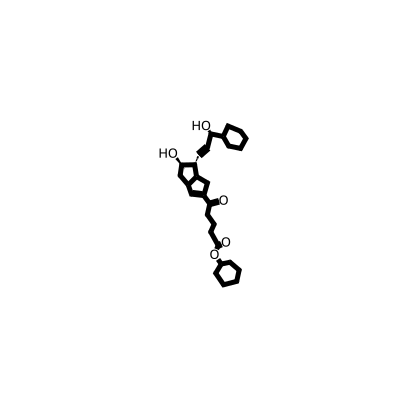 O=C(CCCC(=O)C1=CC2C[C@@H](O)[C@H](C#C[C@@H](O)C3CCCCC3)C2C1)OC1CCCCC1